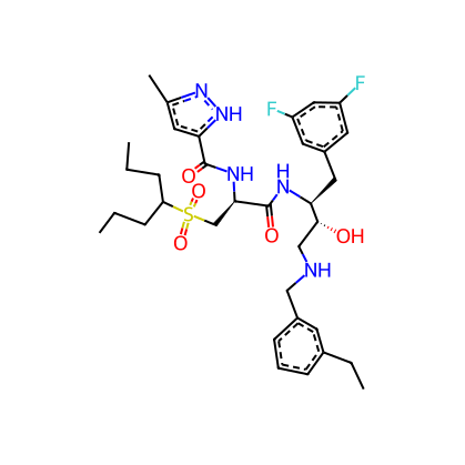 CCCC(CCC)S(=O)(=O)C[C@@H](NC(=O)c1cc(C)n[nH]1)C(=O)N[C@@H](Cc1cc(F)cc(F)c1)[C@H](O)CNCc1cccc(CC)c1